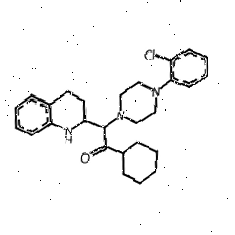 O=C(C1CCCCC1)C(C1CCc2ccccc2N1)N1CCN(c2ccccc2Cl)CC1